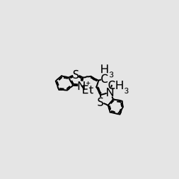 CC[n+]1c(C=C(C)C=C2Sc3ccccc3N2C)sc2ccccc21